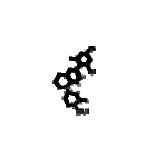 Cc1cc(C#N)cc(O)c1-c1cc2c(nn1)N([C@H]1CC[C@@H](C(=O)O)N(C)C1)CCC2